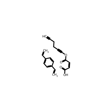 C#CCCC#COC(=O)/C=C\C(=O)O.C=Cc1ccc(C=C)cc1